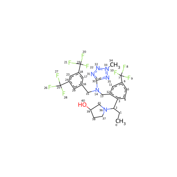 CCC(c1ccc(C(F)(F)F)cc1CN(Cc1cc(C(F)(F)F)cc(C(F)(F)F)c1)c1nnn(C)n1)N1CCC(O)C1